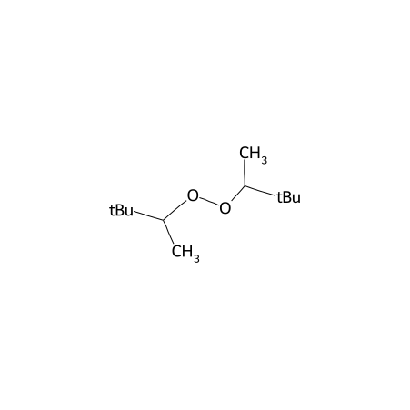 CC(OOC(C)C(C)(C)C)C(C)(C)C